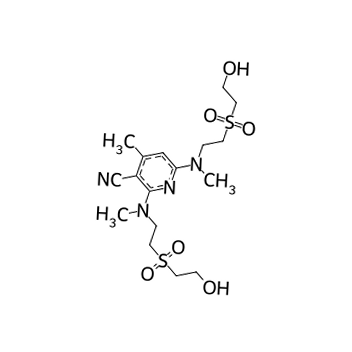 Cc1cc(N(C)CCS(=O)(=O)CCO)nc(N(C)CCS(=O)(=O)CCO)c1C#N